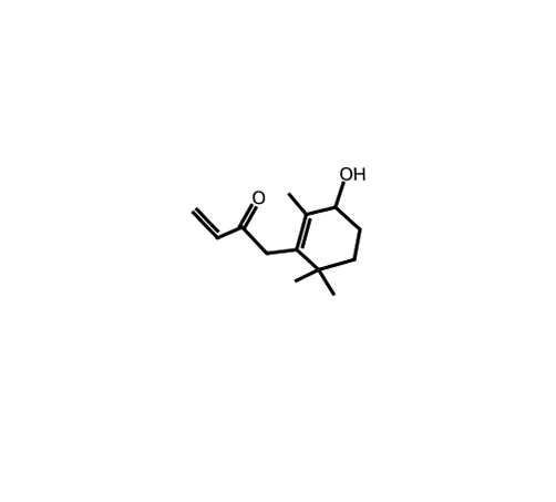 C=CC(=O)CC1=C(C)C(O)CCC1(C)C